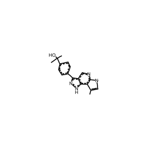 CC1=C[N]c2ncc3c(-c4ccc(C(C)(C)O)cc4)n[nH]c3c21